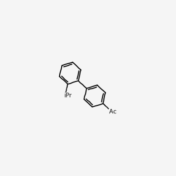 CC(=O)c1ccc(-c2ccccc2C(C)C)cc1